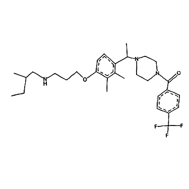 CCC(C)CNCCCOc1ccc(C(C)N2CCN(C(=O)c3ccc(C(F)(F)F)cc3)CC2)c(C)c1C